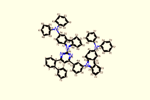 c1ccc(-c2ccccc2-c2cc(-c3cccc(-n4c5ccccc5c5cc(N(c6ccccc6)c6ccccc6)ccc54)c3)nc(-n3c4ccccc4c4cc(N(c5ccccc5)c5ccccc5)ccc43)n2)cc1